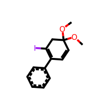 COC1(OC)C=CC(c2ccccc2)=C(I)C1